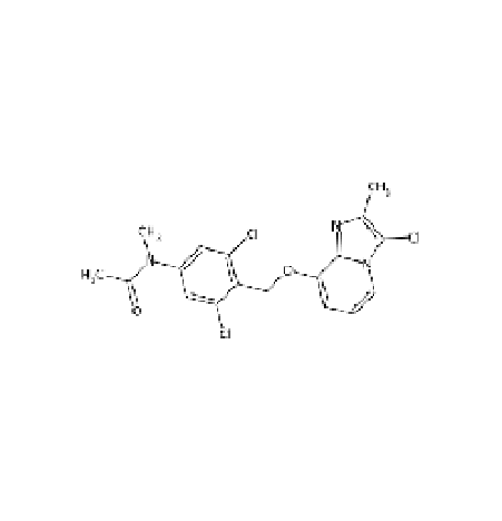 CC(=O)N(C)c1cc(Cl)c(COc2cccn3c(Cl)c(C)nc23)c(Cl)c1